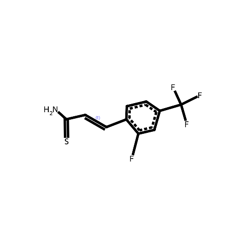 NC(=S)/C=C/c1ccc(C(F)(F)F)cc1F